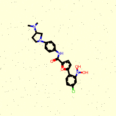 CN(C)C1CCN(c2ccc(NC(=O)c3ccc(-c4ccc(Cl)cc4N(O)O)o3)cc2)C1